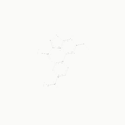 CCc1nc(-c2ccc(C(N)=O)cc2)c2c(C(=O)O)c[nH]c2n1